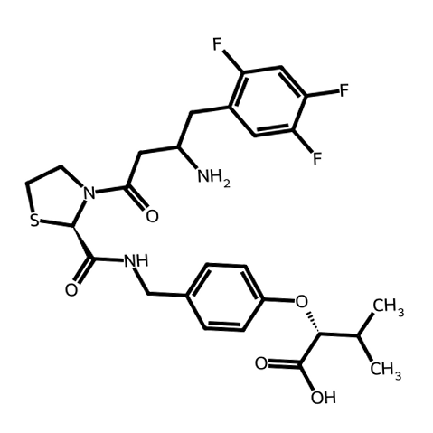 CC(C)[C@@H](Oc1ccc(CNC(=O)[C@H]2SCCN2C(=O)CC(N)Cc2cc(F)c(F)cc2F)cc1)C(=O)O